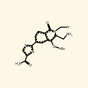 CCCCOc1c(CN)n(CC(C)C)c(=O)c2ccc(-c3nc(C(N)=O)cs3)cc12